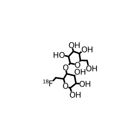 OCC1OC(OC2C(C[18F])OC(O)C(O)C2O)C(O)C(O)C1O